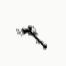 CCCOC(C[C@@H](N)C(C)C)c1nc(C(=O)N[C@@H](Cc2ccc(C)cc2)C[C@H](C)C(=O)NNC(=O)OCCOCCOCCOCCNC(=O)CCCCCN2C(=O)C=CC2=O)cs1